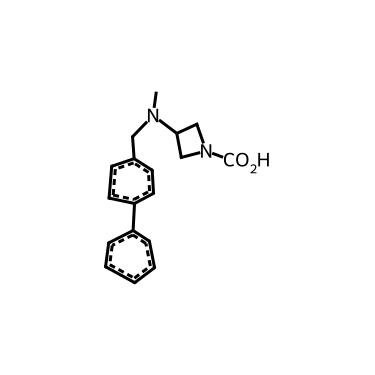 CN(Cc1ccc(-c2ccccc2)cc1)C1CN(C(=O)O)C1